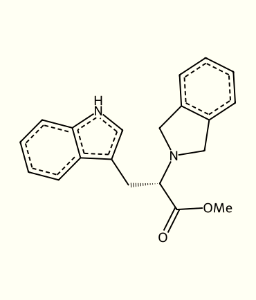 COC(=O)[C@H](Cc1c[nH]c2ccccc12)N1Cc2ccccc2C1